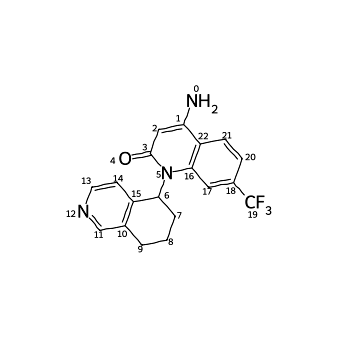 Nc1cc(=O)n(C2CCCc3cnccc32)c2cc(C(F)(F)F)ccc12